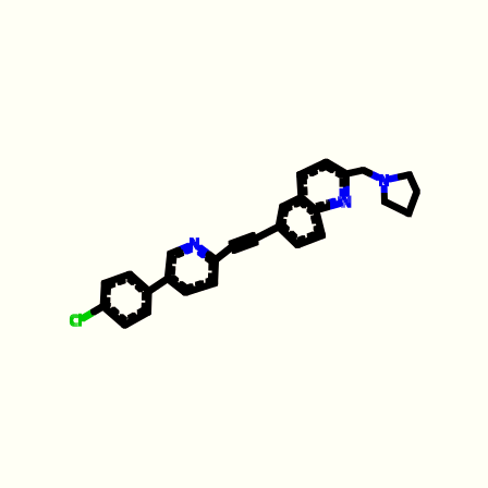 Clc1ccc(-c2ccc(C#Cc3ccc4nc(CN5CCCC5)ccc4c3)nc2)cc1